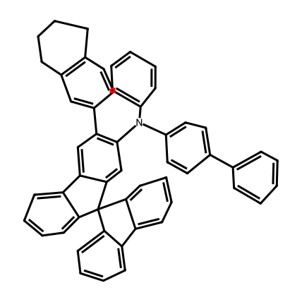 c1ccc(-c2ccc(N(c3ccccc3)c3cc4c(cc3-c3ccc5c(c3)CCCC5)-c3ccccc3C43c4ccccc4-c4ccccc43)cc2)cc1